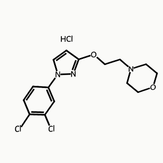 Cl.Clc1ccc(-n2ccc(OCCN3CCOCC3)n2)cc1Cl